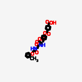 Cc1ccccc1OCC(=O)NCC(=O)N[C@@H](Cc1ccc(OC(=O)C2CCC(C(=O)O)CC2)cc1)C(=O)O